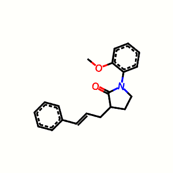 COc1ccccc1N1CCC(C/C=C/c2ccccc2)C1=O